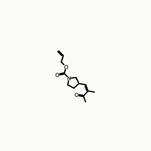 C=CCOC(=O)N1CCC(C=C(C)C(C)=O)C1